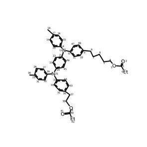 CCC(=O)OCCCCCc1ccc(N(c2ccc(C)cc2)c2ccc(N(c3ccc(C)cc3)c3ccc(CCOC(=O)CC)cc3)cc2)cc1